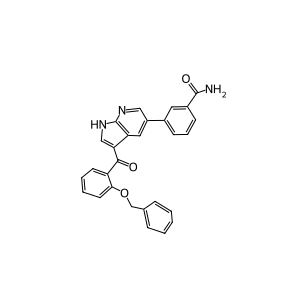 NC(=O)c1cccc(-c2cnc3[nH]cc(C(=O)c4ccccc4OCc4ccccc4)c3c2)c1